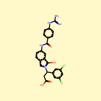 N=C(N)Nc1ccc(C(=O)Nc2ccc3cn(C(CC(=O)O)c4cc(Cl)cc(Cl)c4)c(O)c3c2)cc1